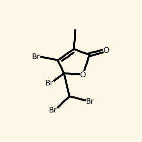 CC1=C(Br)C(Br)(C(Br)Br)OC1=O